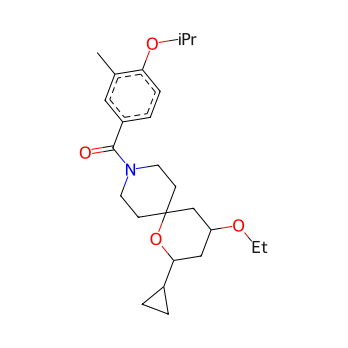 CCOC1CC(C2CC2)OC2(CCN(C(=O)c3ccc(OC(C)C)c(C)c3)CC2)C1